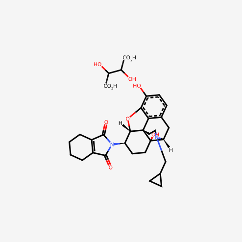 O=C(O)C(O)C(O)C(=O)O.O=C1C2=C(CCCC2)C(=O)N1[C@@H]1CC[C@@]2(O)[C@H]3Cc4ccc(O)c5c4[C@@]2(CCN3CC2CC2)[C@H]1O5